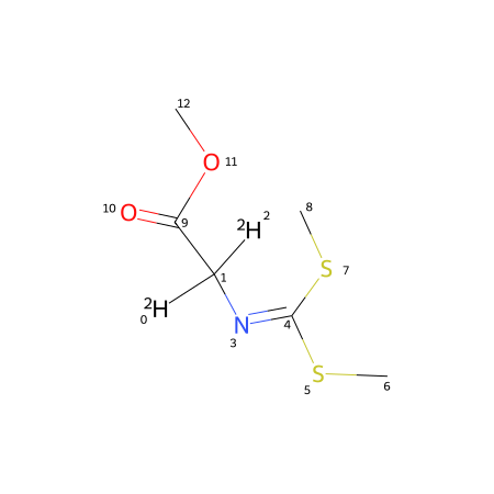 [2H]C([2H])(N=C(SC)SC)C(=O)OC